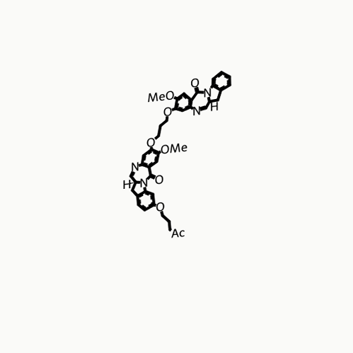 COc1cc2c(cc1OCCCOc1cc3c(cc1OC)C(=O)N1c4cc(OCCCC(C)=O)ccc4C[C@H]1C=N3)N=C[C@@H]1Cc3ccccc3N1C2=O